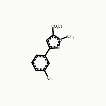 CCOC(=O)c1cc(-c2cccc(C(F)(F)F)c2)nn1C